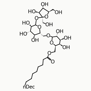 CCCCCCCCCCCCCCCCCC(=O)OC[C@H]1OC(OC[C@H]2OC(O[C@]3(CO)O[C@H](CO)[C@@H](O)[C@@H]3O)[C@H](O)[C@@H](O)[C@@H]2O)[C@H](O)[C@@H](O)[C@H]1O